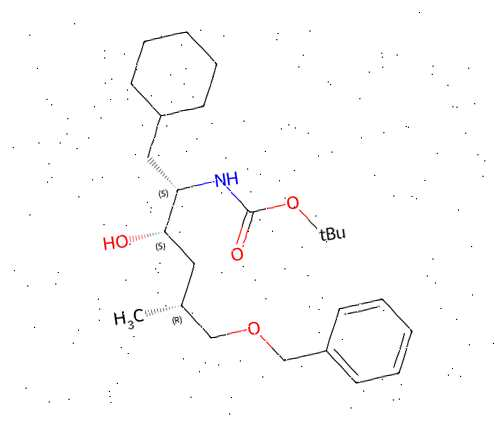 C[C@@H](COCc1ccccc1)C[C@H](O)[C@H](CC1CCCCC1)NC(=O)OC(C)(C)C